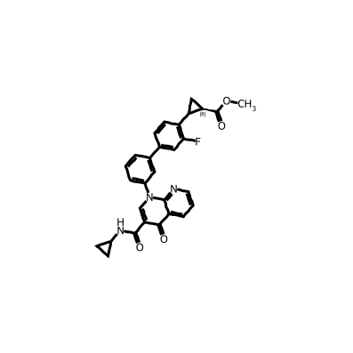 COC(=O)[C@@H]1CC1c1ccc(-c2cccc(-n3cc(C(=O)NC4CC4)c(=O)c4cccnc43)c2)cc1F